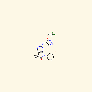 O=C1N([C@@H]2CCC[C@@H](O)C2)c2nc(Nc3c[nH]nc3OCC(F)(F)F)ncc2C12CC2